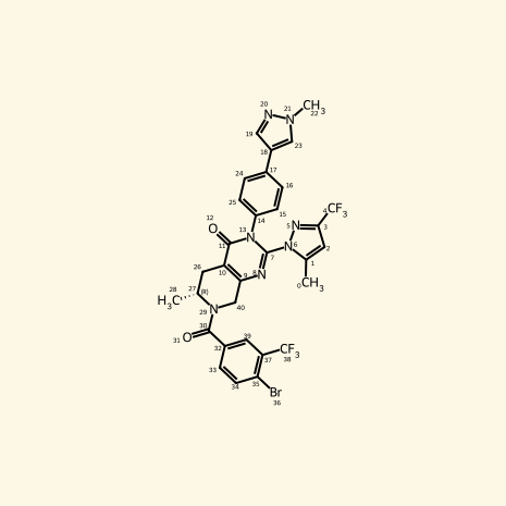 Cc1cc(C(F)(F)F)nn1-c1nc2c(c(=O)n1-c1ccc(-c3cnn(C)c3)cc1)C[C@@H](C)N(C(=O)c1ccc(Br)c(C(F)(F)F)c1)C2